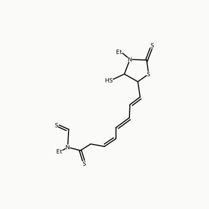 CCN(C=S)C(=S)C\C=C/C=C/C=C/C1SC(=S)N(CC)C1S